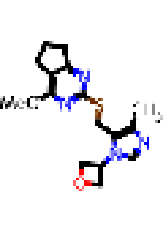 COc1nc(SCc2c(C)ncn2C2COC2)nc2c1CCC2